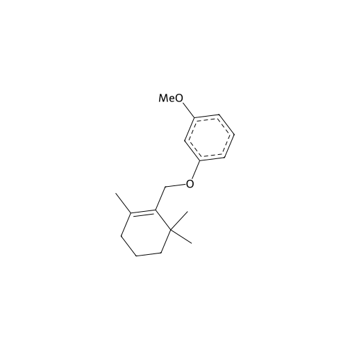 COc1cccc(OCC2=C(C)CCCC2(C)C)c1